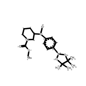 CC(C)(C)OC(=O)N1CCCC([S+]([O-])c2ccc(B3OC(C)(C)C(C)(C)O3)cc2)C1